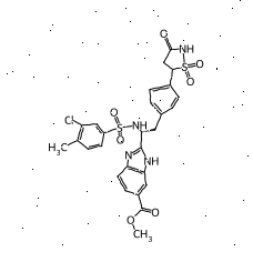 COC(=O)c1ccc2nc([C@H](Cc3ccc(C4CC(=O)NS4(=O)=O)cc3)NS(=O)(=O)c3ccc(C)c(Cl)c3)[nH]c2c1